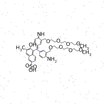 COCCOCCOCCOCC1=C/C(=C(\c2ccc(N)c(COCCOCCOCCOC)c2)c2c(O)c(C)cc3cc(S(=O)(=O)O)ccc23)C=CC1=N